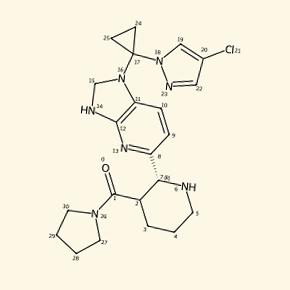 O=C(C1CCCN[C@H]1c1ccc2c(n1)NCN2C1(n2cc(Cl)cn2)CC1)N1CCCC1